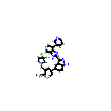 C=C/C(=C\C(=C/C)c1ccc2[nH]nc(-c3nc4c(-c5cccnc5)cncc4[nH]3)c2c1)CN1CCC(F)(F)C1